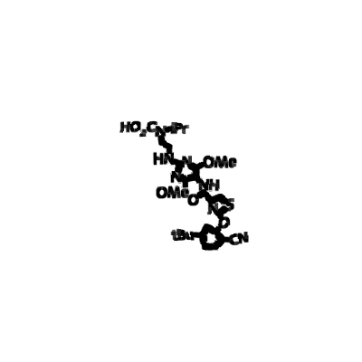 COc1nc(NCCN(C(=O)O)C(C)C)nc(OC)c1NC(=O)c1csc(Oc2cc(C(C)(C)C)ccc2C#N)n1